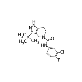 CC(C)(C)c1n[nH]c2c1CN(C(=O)Nc1ccc(F)c(Cl)c1)CC2